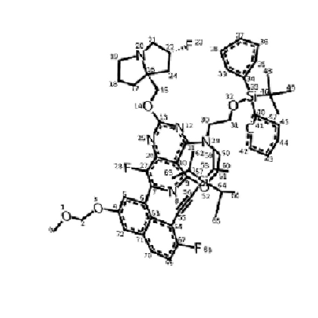 COCOc1cc(-c2nc3c4c(nc(OC[C@@]56CCCN5C[C@H](F)C6)nc4c2F)N(CCO[Si](c2ccccc2)(c2ccccc2)C(C)(C)C)CCO3)c2c(C#C[Si](C(C)C)(C(C)C)C(C)C)c(F)ccc2c1